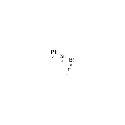 [B].[Ir].[Pt].[Si]